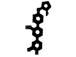 O=c1cc(-c2ccc(-c3ccc(O[C@H]4CCC[C@@H]4F)nn3)c(O)c2)cc[nH]1